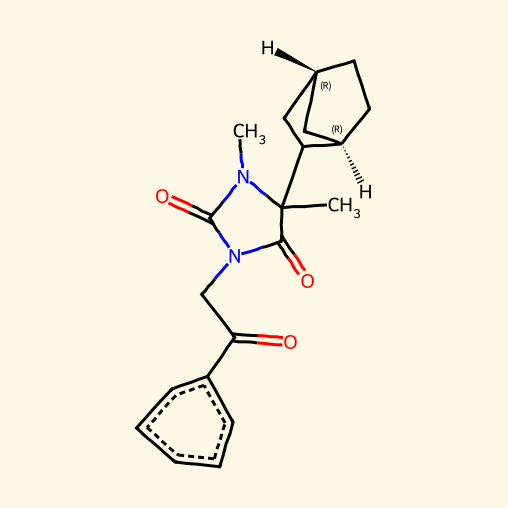 CN1C(=O)N(CC(=O)c2ccccc2)C(=O)C1(C)C1C[C@@H]2CC[C@@H]1C2